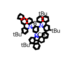 CC(C)(C)c1ccc2c(c1)B1c3ccc(-c4ccccc4)cc3N(c3ccc(C(C)(C)C)cc3C3=CC=CCC3)c3cc(N4c5ccc(C(C)(C)C)cc5C5(c6ccccc6)CCc6ccccc6C45C)cc(c31)N2c1ccc(C(C)(C)C)cc1-c1ccccc1